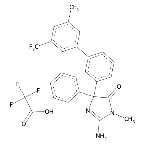 CN1C(=O)C(c2ccccc2)(c2cccc(-c3cc(C(F)(F)F)cc(C(F)(F)F)c3)c2)N=C1N.O=C(O)C(F)(F)F